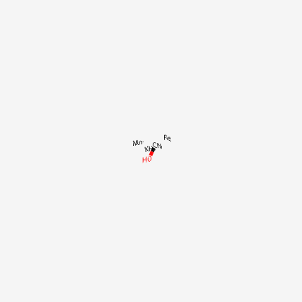 N#CO.[Fe].[KH].[Mn]